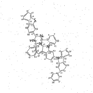 c1ccc(C2=NC(c3ccccc3-n3c4ccccc4c4ccc(-n5c6ccccc6c6ccc(-c7ccccc7)cc65)cc43)=NC(c3ccc4c(c3)sc3ccccc34)N2)cc1